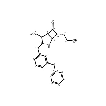 O=C([O-])C1C(Oc2cccc(C[n+]3ccccc3)c2)SC2[C@@H](CCO)C(=O)N12